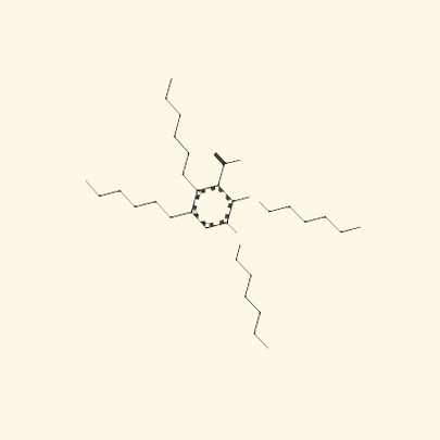 CCCCCCOc1cc(CCCCCC)c(CCCCCC)c(C(=O)O)c1OCCCCCC